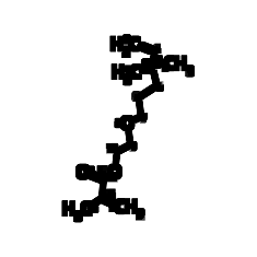 C=C[Si](C)(C)CCCOCCOC(=O)C(=C)C